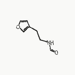 O=CNCCc1ccoc1